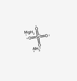 [AlH3].[MgH2].[O]=[Sc](=[O])(=[O])=[O]